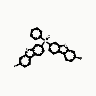 O=P(c1ccccc1)(c1ccc2c(c1)sc1cc(F)ccc12)c1ccc2c(c1)sc1cc(F)ccc12